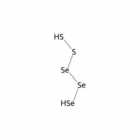 SS[Se][Se][SeH]